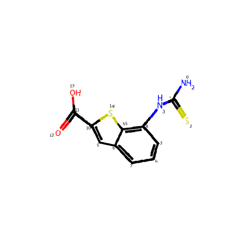 NC(=S)Nc1cccc2cc(C(=O)O)sc12